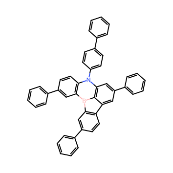 c1ccc(-c2ccc(N3c4ccc(-c5ccccc5)cc4B4c5cc(-c6ccccc6)ccc5-c5cc(-c6ccccc6)cc3c54)cc2)cc1